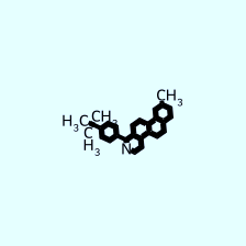 Cc1ccc2ccc3c4ccnc(-c5ccc(C(C)(C)C)cc5)c4ccc3c2c1